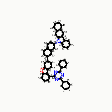 C1=CCC(c2nc(-c3ccccc3)nc(-c3cccc4oc5cc(-c6ccc7ccc(-n8c9ccccc9c9cc%10ccccc%10cc98)cc7c6)ccc5c34)n2)C=C1